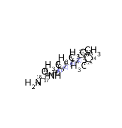 CC1=C(/C=C/C(C)=C/C=C/C(C)=C/CNC(=O)CCN)C(C)(C)CCC1